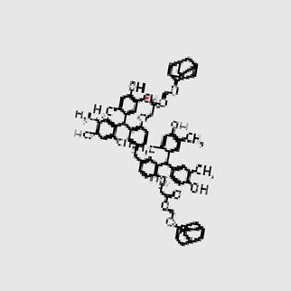 Cc1cc(C(c2cc(C)c(O)cc2C)c2cc(Cc3ccc(OCC(=O)OCOC4C5CC6CC(C5)CC4C6)c(C(c4cc(C)c(O)cc4C)c4cc(C)c(O)cc4C)c3)ccc2OCC(=O)OCOC2C3CC4CC(C3)CC2C4)c(C)cc1O